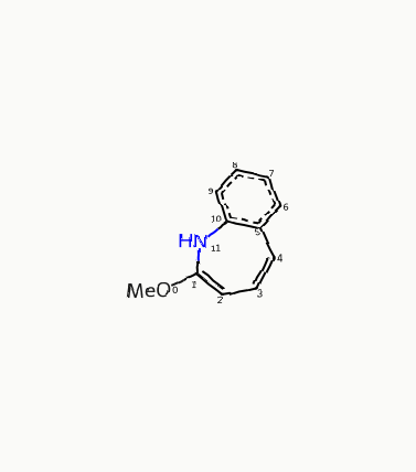 COC1=CC=Cc2ccccc2N1